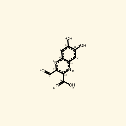 O=Cc1nc2cc(O)c(O)cc2nc1C(=O)O